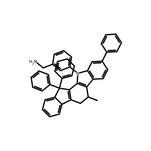 CC1CC2=C(c3c1c1ccc(-c4ccccc4)cc1n3-c1cccc(CN)c1)C(C1=CCCC=C1)(c1ccccc1)c1ccccc12